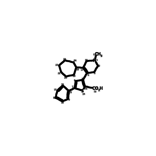 CN1CCC(c2cc(-c3ccccc3)sc2C(=O)O)=C(C2CCCCCC2)C1